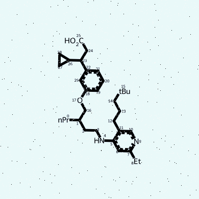 CCCC(CCNc1cc(CC)ncc1CCCC(C)(C)C)COc1cccc(C(CC(=O)O)C2CC2)c1